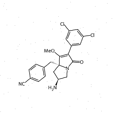 COC1=C(c2cc(Cl)cc(Cl)c2)C(=O)N2C[C@@H](N)C[C@@]12Cc1ccc(C#N)cc1